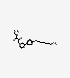 CCCCCCCCOc1ccc(C2CN(CC(F)C(=O)OCC)CCO2)cc1